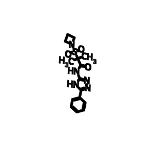 CC(C)(C(=O)Nc1nnc(-c2ccccc2)[nH]1)S(=O)(=O)N1CCC1